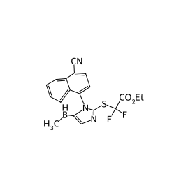 CBc1cnc(SC(F)(F)C(=O)OCC)n1-c1ccc(C#N)c2ccccc12